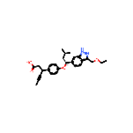 CC#CC(CC(=O)O)c1ccc(O[C@@H](CC(C)C)c2ccc3c(COCC)n[nH]c3c2)cc1